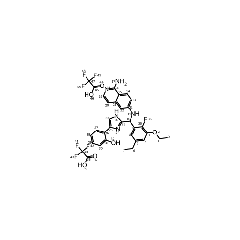 CCOc1cc(CC)cc(C(Nc2ccc3c(N)nccc3c2)c2nc(-c3ccccc3O)c[nH]2)c1F.O=C(O)C(F)(F)F.O=C(O)C(F)(F)F